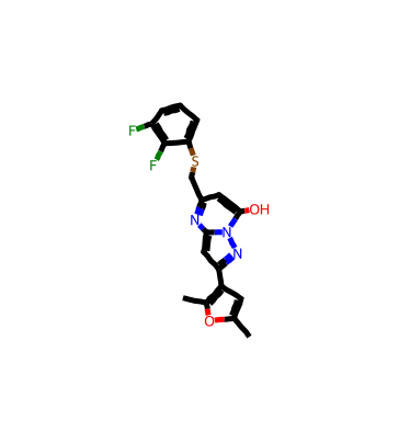 Cc1cc(-c2cc3nc(CSc4cccc(F)c4F)cc(O)n3n2)c(C)o1